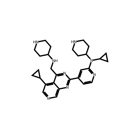 c1cc(-c2nc(CNC3CCNCC3)c3c(C4CC4)cncc3n2)cc(N(C2CCNCC2)C2CC2)n1